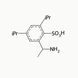 CC(C)c1cc(C(C)C)c(S(=O)(=O)O)c(C(C)N)c1